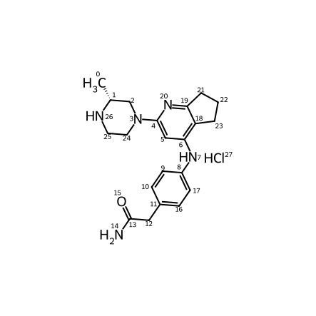 C[C@@H]1CN(c2cc(Nc3ccc(CC(N)=O)cc3)c3c(n2)CCC3)CCN1.Cl